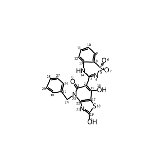 O=c1c(C2=NS(=O)(=O)c3ccccc3N2)c(O)c2sc(O)nc2n1Cc1ccccc1